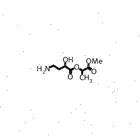 COC(=O)C(C)OC(=O)C(O)CCN